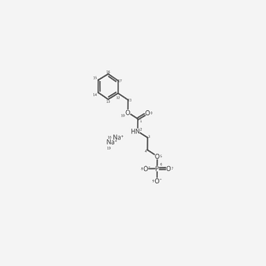 O=C(NCCOP(=O)([O-])[O-])OCc1ccccc1.[Na+].[Na+]